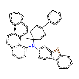 CC1(N(c2ccc3c(c2)sc2ccccc23)c2cccc3ccc4c5ccccc5ccc4c23)C=CC(c2ccccc2)=CC1